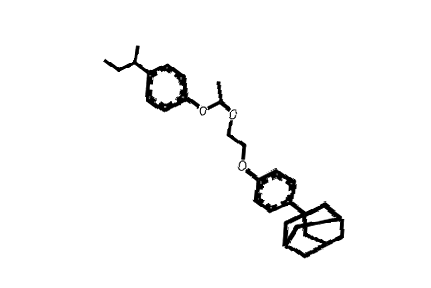 CCC(C)c1ccc(OC(C)OCCOc2ccc(C34CC5CC(CC(C5)C3)C4)cc2)cc1